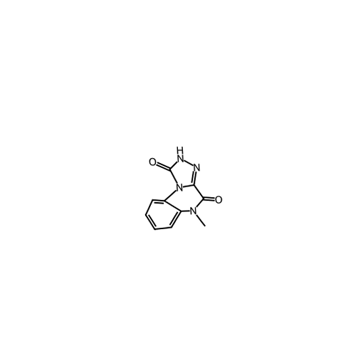 Cn1c(=O)c2n[nH]c(=O)n2c2ccccc21